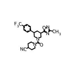 Cc1noc(C2CC(c3ccc(C(F)(F)F)cc3)CN(C(=O)N3CCC(C#N)CC3)C2)n1